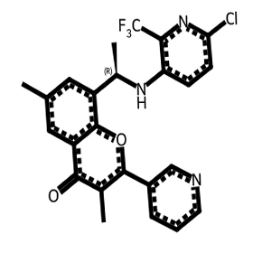 Cc1cc([C@@H](C)Nc2ccc(Cl)nc2C(F)(F)F)c2oc(-c3cccnc3)c(C)c(=O)c2c1